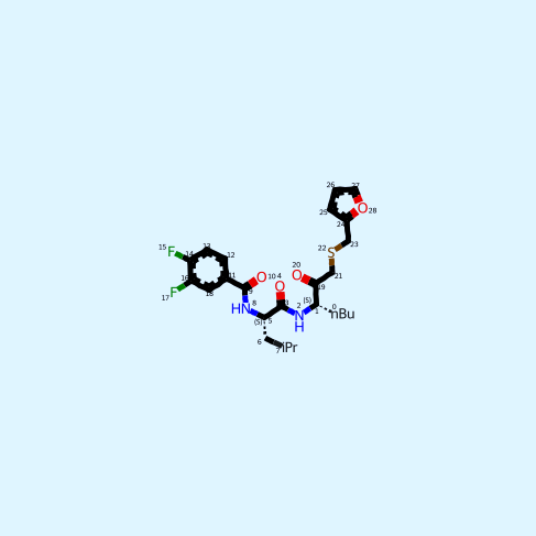 CCCC[C@H](NC(=O)[C@H](CC(C)C)NC(=O)c1ccc(F)c(F)c1)C(=O)CSCc1ccco1